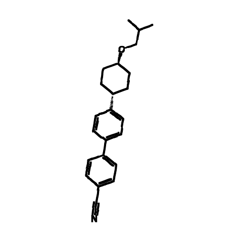 CC(C)CO[C@H]1CC[C@H](c2ccc(-c3ccc(C#N)cc3)cc2)CC1